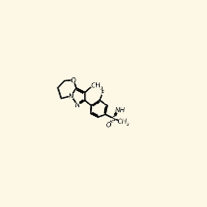 Cc1c(-c2ccc(S(C)(=N)=O)cc2F)nn2c1OCCC2